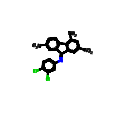 O=[N+]([O-])c1ccc2c(c1)C(=Nc1ccc(Cl)c(Cl)c1)c1cc([N+](=O)[O-])cc([N+](=O)[O-])c1-2